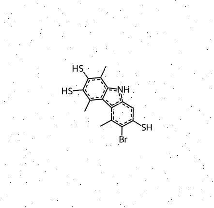 Cc1c(S)c(S)c(C)c2c1[nH]c1cc(S)c(Br)c(C)c12